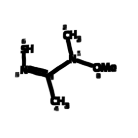 CON(C)/C(C)=N\S